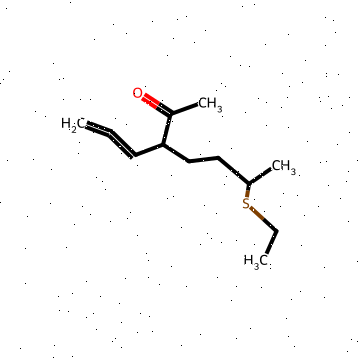 C=C=CC(CCC(C)SCC)C(C)=O